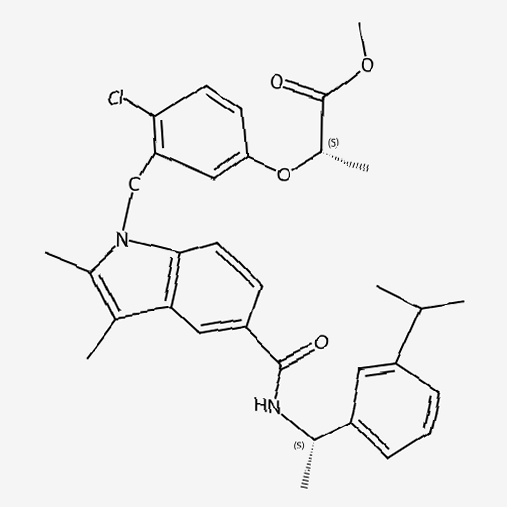 COC(=O)[C@H](C)Oc1ccc(Cl)c(Cn2c(C)c(C)c3cc(C(=O)N[C@@H](C)c4cccc(C(C)C)c4)ccc32)c1